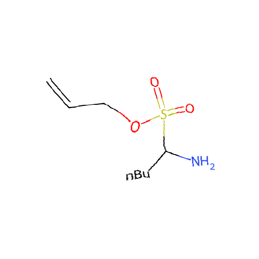 C=CCOS(=O)(=O)C(N)CCCC